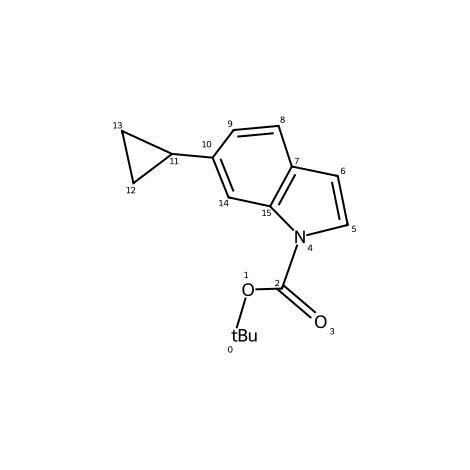 CC(C)(C)OC(=O)n1ccc2ccc(C3CC3)cc21